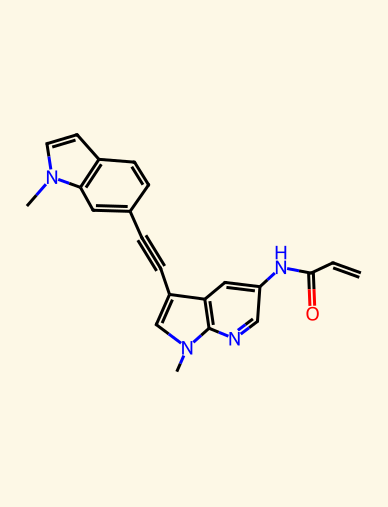 C=CC(=O)Nc1cnc2c(c1)c(C#Cc1ccc3ccn(C)c3c1)cn2C